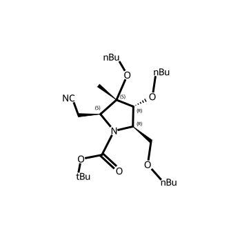 CCCCOC[C@@H]1[C@@H](OCCCC)[C@@](C)(OCCCC)[C@H](CC#N)N1C(=O)OC(C)(C)C